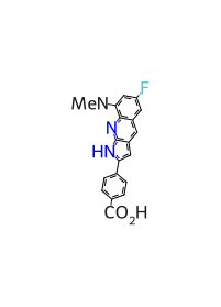 CNc1cc(F)cc2cc3cc(-c4ccc(C(=O)O)cc4)[nH]c3nc12